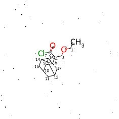 CCOCC(C(=O)Cl)C12CC3CC(CC(C3)C1)C2